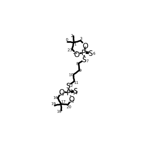 CC1(C)COP(=S)(SCCCCSP2(=S)OCC(C)(C)CO2)OC1